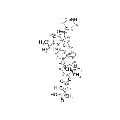 CC(C)C1=C2[C@H]3CC[C@@H]4[C@@]5(C)CC[C@H](OC(=O)CC(C)(C)C(=O)O)C(C)(C)[C@@H]5CC[C@@]4(C)[C@]3(C)CC[C@@]2(NC(=O)C2CCNCC2)CC1=O